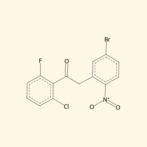 O=C(Cc1cc(Br)ccc1[N+](=O)[O-])c1c(F)cccc1Cl